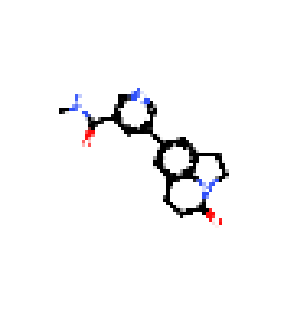 CNC(=O)c1cncc(-c2cc3c4c(c2)CCN4C(=O)CC3)c1